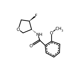 COc1ccccc1C(=O)N[C@@H]1COC[C@H]1F